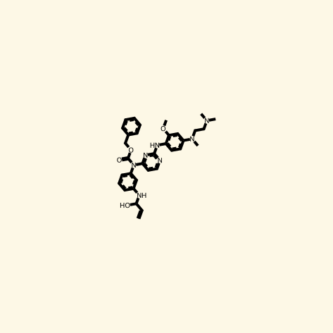 C=CC(O)Nc1cccc(N(C(=O)OCc2ccccc2)c2ccnc(Nc3ccc(N(C)CCN(C)C)cc3OC)n2)c1